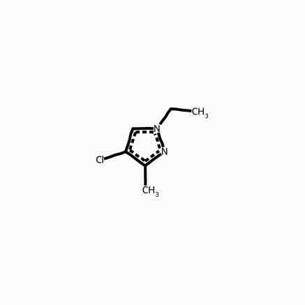 CCn1cc(Cl)c(C)n1